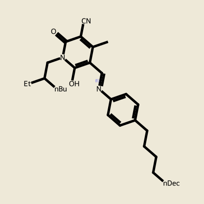 CCCCCCCCCCCCCCc1ccc(/N=C/c2c(C)c(C#N)c(=O)n(CC(CC)CCCC)c2O)cc1